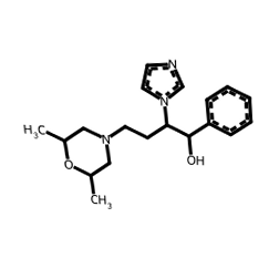 CC1CN(CCC(C(O)c2ccccc2)n2ccnc2)CC(C)O1